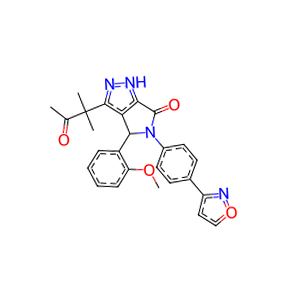 COc1ccccc1C1c2c(C(C)(C)C(C)=O)n[nH]c2C(=O)N1c1ccc(-c2ccon2)cc1